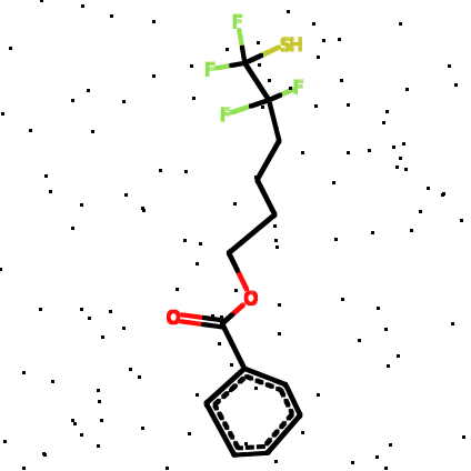 O=C(OCCCCC(F)(F)C(F)(F)S)c1ccccc1